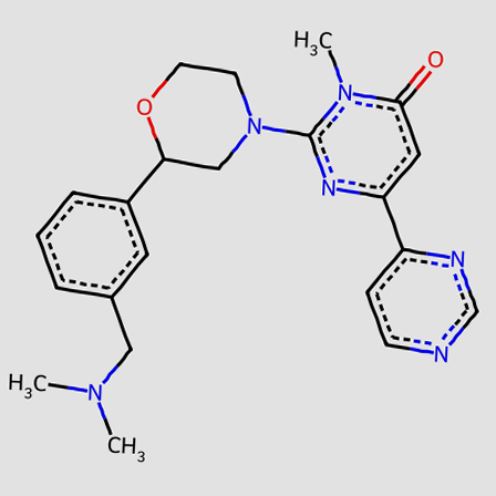 CN(C)Cc1cccc(C2CN(c3nc(-c4ccncn4)cc(=O)n3C)CCO2)c1